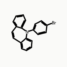 Brc1ccc(N2c3ccccc3C=Cc3ccccc32)cc1